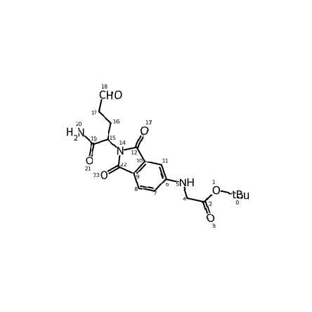 CC(C)(C)OC(=O)CNc1ccc2c(c1)C(=O)N(C(CCC=O)C(N)=O)C2=O